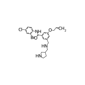 C=CCOc1cc(CNCC2CCNC2)cc(C(=O)Nc2ccc(Cl)cc2Br)c1